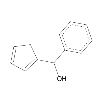 OC(C1=CC=CC1)c1ccccc1